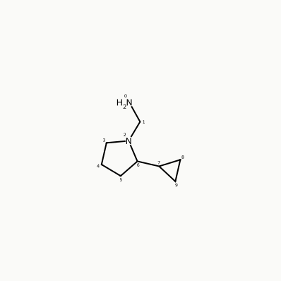 NCN1CCCC1C1CC1